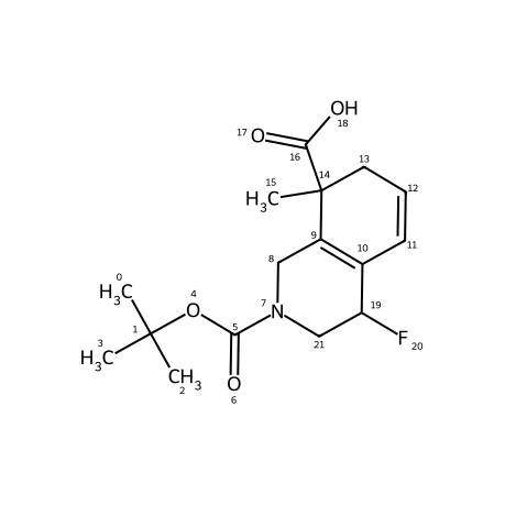 CC(C)(C)OC(=O)N1CC2=C(C=CCC2(C)C(=O)O)C(F)C1